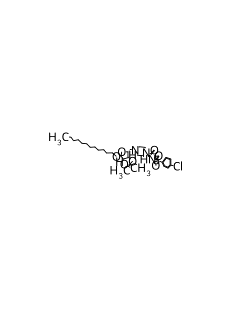 CCCCCCCCCCCCO[C@H]1O[C@H](CN2CCN(C(=O)NS(=O)(=O)c3ccc(Cl)cc3)CC2)[C@@H]2OC(C)(C)O[C@H]12